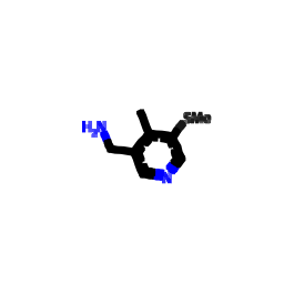 CSc1cncc(CN)c1C